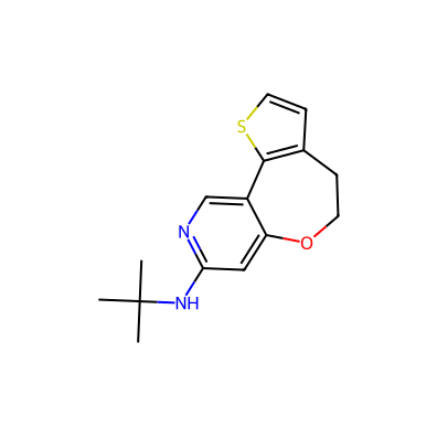 CC(C)(C)Nc1cc2c(cn1)-c1sccc1CCO2